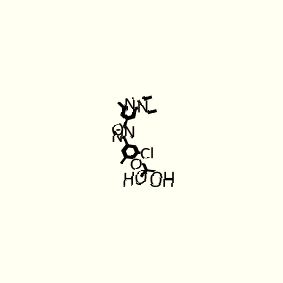 CCN(CC)c1cc(-c2nc(-c3cc(C)c(OCC(O)CO)c(Cl)c3)no2)cc(C)n1